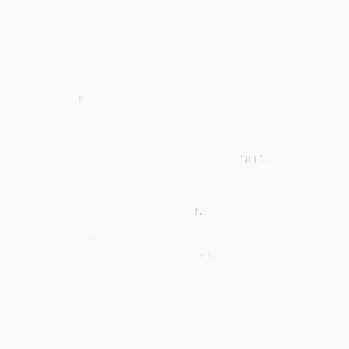 CC(=O)N[C@@H](Cc1ccc(F)cc1)C(=O)N[C@@H](CCC(C)(C)C)C(=O)O